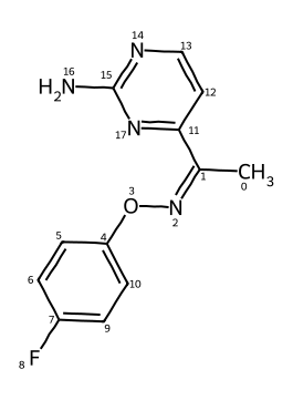 C/C(=N/Oc1ccc(F)cc1)c1ccnc(N)n1